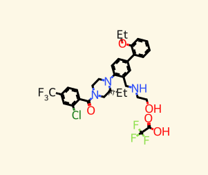 CCOc1ccccc1-c1ccc(N2CCN(C(=O)c3ccc(C(F)(F)F)cc3Cl)C[C@H]2CC)c(CNCCO)c1.O=C(O)C(F)(F)F